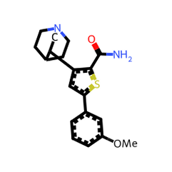 COc1cccc(-c2cc(C3CN4CCC3CC4)c(C(N)=O)s2)c1